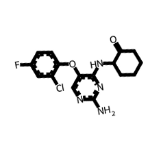 Nc1ncc(Oc2ccc(F)cc2Cl)c(NC2CCCCC2=O)n1